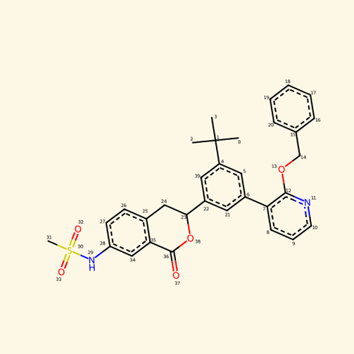 CC(C)(C)c1cc(-c2cccnc2OCc2ccccc2)cc(C2Cc3ccc(NS(C)(=O)=O)cc3C(=O)O2)c1